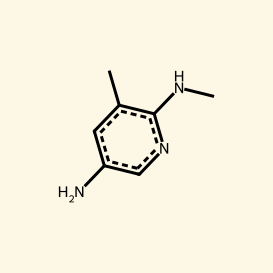 CNc1ncc(N)cc1C